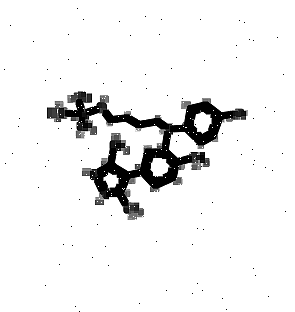 CCCc1ccc(N(CCCCO[Si](C)(C)C(C)(C)C)c2cc(-c3c(C)noc3C)ccc2C)cc1